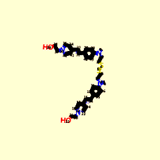 CN(CCSSCCN(C)c1ccc(/C=C/c2cc[n+](CCO)cc2)cc1)c1ccc(/C=C/C2=CCN(CCO)C=C2)cc1